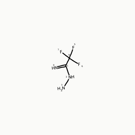 N=C(NN)C(F)(F)F